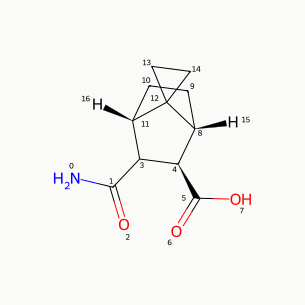 NC(=O)C1[C@H](C(=O)O)[C@H]2CC[C@@H]1C21CC1